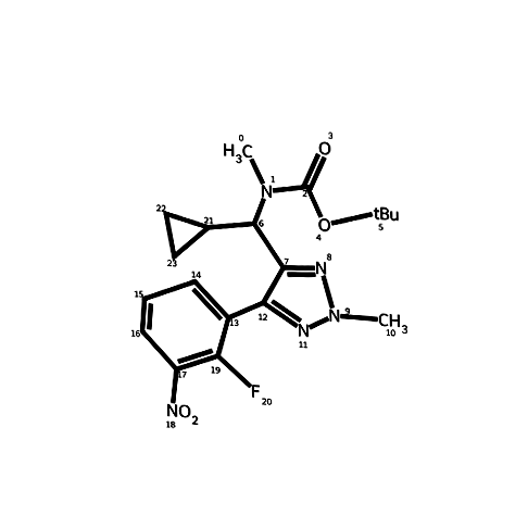 CN(C(=O)OC(C)(C)C)C(c1nn(C)nc1-c1cccc([N+](=O)[O-])c1F)C1CC1